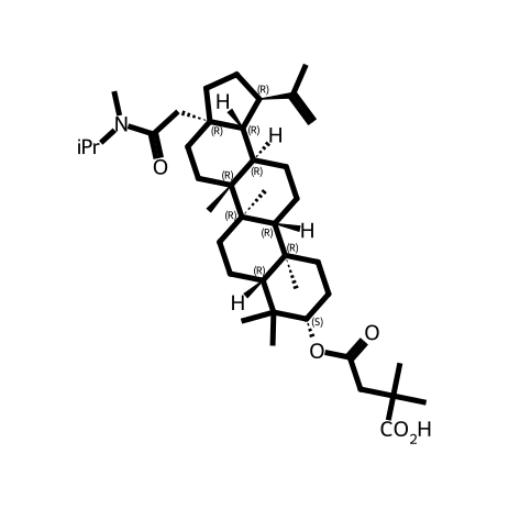 C=C(C)[C@@H]1CC[C@]2(CC(=O)N(C)C(C)C)CC[C@]3(C)[C@H](CC[C@@H]4[C@@]5(C)CC[C@H](OC(=O)CC(C)(C)C(=O)O)C(C)(C)[C@@H]5CC[C@]43C)[C@@H]12